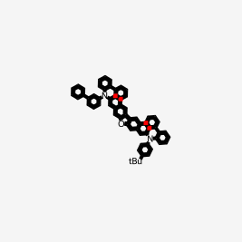 CC(C)(C)c1ccc(N(c2ccc3cc4c(cc3c2)oc2cc3cc(N(c5cccc(-c6ccccc6)c5)c5ccccc5-c5ccccc5)ccc3cc24)c2ccccc2-c2ccccc2)cc1